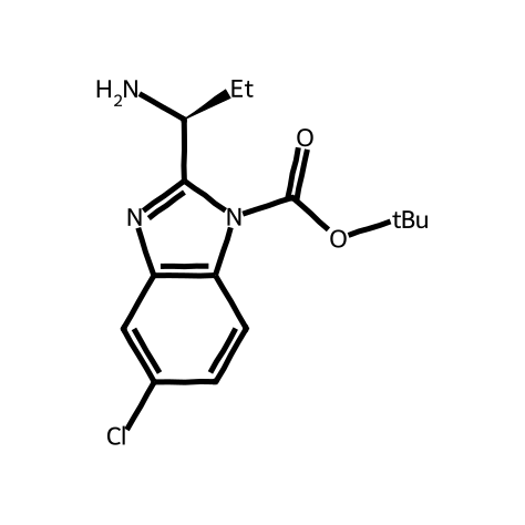 CC[C@H](N)c1nc2cc(Cl)ccc2n1C(=O)OC(C)(C)C